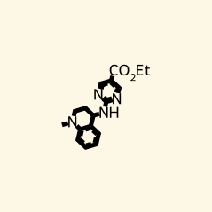 CCOC(=O)c1cnc(NC2CCN(C)c3ccccc32)nc1